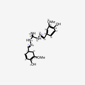 COC1=C(O)C=CC(/C=N/NC(=N)N/N=C/c2ccc(O)c(OC)c2)C1